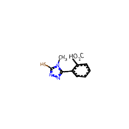 Cn1c(S)nnc1-c1ccccc1C(=O)O